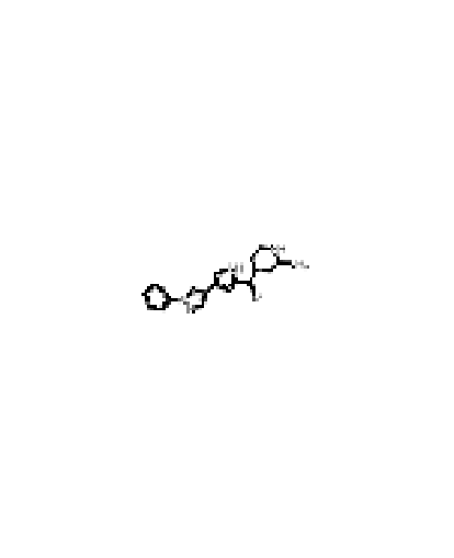 C=C1CN(C(=O)c2cc(-c3cnn(-c4ccccc4)c3)c[nH]2)CCN1